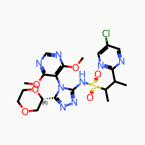 COc1ncnc(OC)c1-n1c(NS(=O)(=O)C(C)C(C)c2ncc(Cl)cn2)nnc1[C@@H]1COCCO1